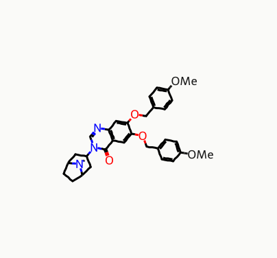 COc1ccc(COc2cc3ncn(C4CC5CCC(C4)N5C)c(=O)c3cc2OCc2ccc(OC)cc2)cc1